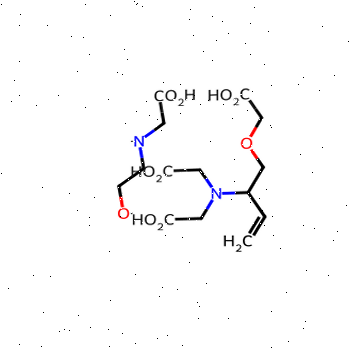 C=CC(COCC(=O)O)N(CC(=O)O)CC(=O)O.[O]CC[N]CC(=O)O